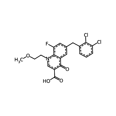 COCCn1cc(C(=O)O)c(=O)c2cc(Cc3cccc(Cl)c3Cl)cc(F)c21